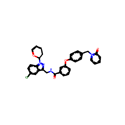 O=C(NCc1nn(C2CCCCO2)c2ccc(Cl)cc12)c1cccc(Oc2ccc(Cn3ccccc3=O)cc2)c1